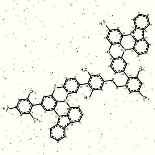 Cc1cc(C)c(-c2cc3c4c(c2)-n2c5ccccc5c5cccc(c52)B4c2cc(-c4c(C)cc(CCc5cc(C)cc(C)c5-c5ccc6c(c5)B5c7c(cc(C)cc7-n7c8ccccc8c8cccc5c87)O6)cc4C)ccc2O3)c(C)c1